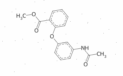 COC(=O)c1ccccc1Oc1cccc(NC(C)=O)c1